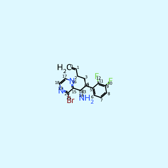 C=CCC[C@@H](c1cccc(F)c1F)[C@H](N)c1nccnc1Br